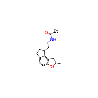 CCC(=O)NCCC1CCc2ccc3c(c21)CC(C)O3